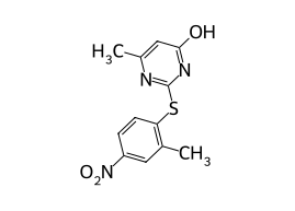 Cc1cc(O)nc(Sc2ccc([N+](=O)[O-])cc2C)n1